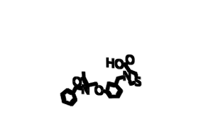 Cc1oc(-c2ccccc2)nc1COc1cccc(CN2CSCC2C(=O)O)c1